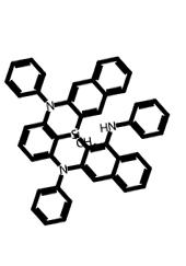 C[Si]12c3cc4ccccc4cc3N(c3ccccc3)c3cccc(c31)N(c1ccccc1)c1cc3ccccc3c(Nc3ccccc3)c12